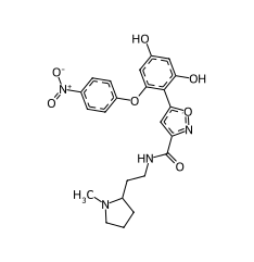 CN1CCCC1CCNC(=O)c1cc(-c2c(O)cc(O)cc2Oc2ccc([N+](=O)[O-])cc2)on1